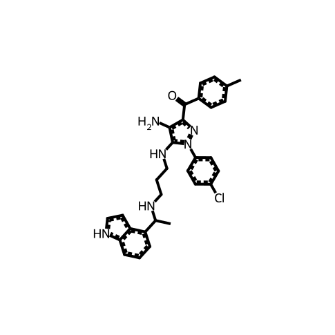 Cc1ccc(C(=O)c2nn(-c3ccc(Cl)cc3)c(NCCCNC(C)c3cccc4[nH]ccc34)c2N)cc1